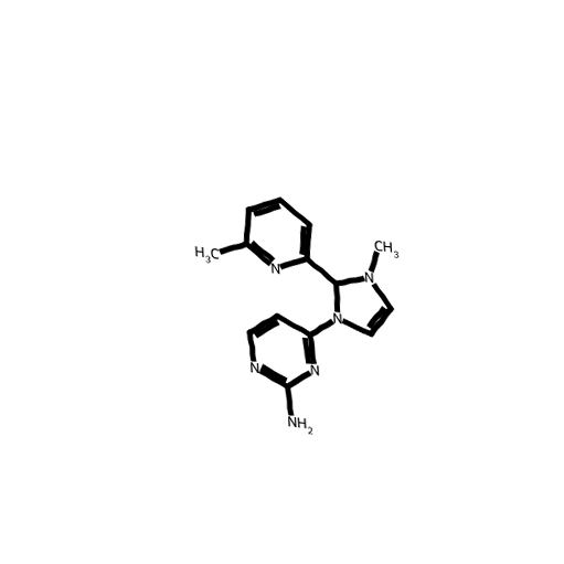 Cc1cccc(C2N(C)C=CN2c2ccnc(N)n2)n1